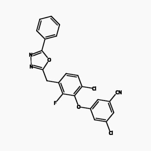 N#Cc1cc(Cl)cc(Oc2c(Cl)ccc(Cc3nnc(-c4ccccc4)o3)c2F)c1